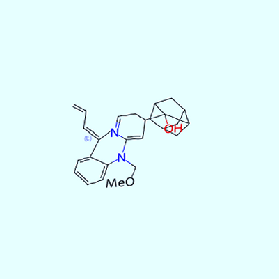 C=C/C=C(\C)c1ccccc1N(COC)C1=CC(C2(O)C3CC4CC(C3)C2C4)CC=N1